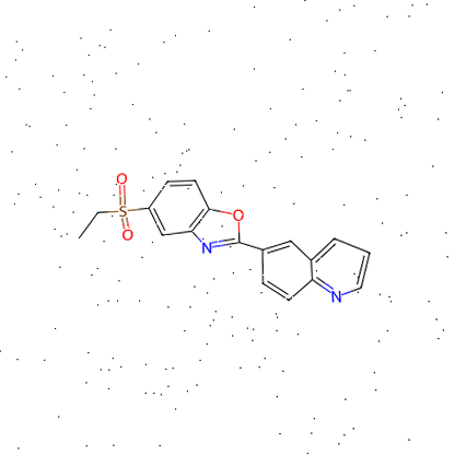 CCS(=O)(=O)c1ccc2oc(-c3ccc4ncccc4c3)nc2c1